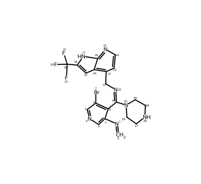 C=Nc1cncc(Br)c1/C(=N\Cc1ccnc2[nH]c(C(F)(F)F)cc12)N1CCNCC1